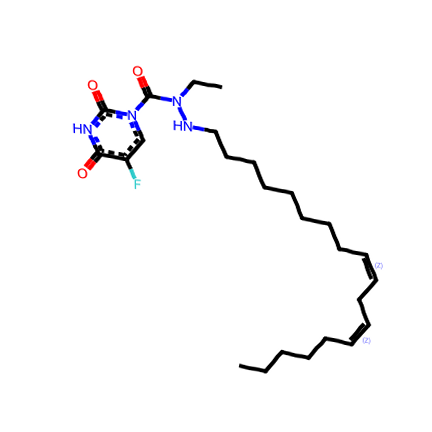 CCCCC/C=C\C/C=C\CCCCCCCCNN(CC)C(=O)n1cc(F)c(=O)[nH]c1=O